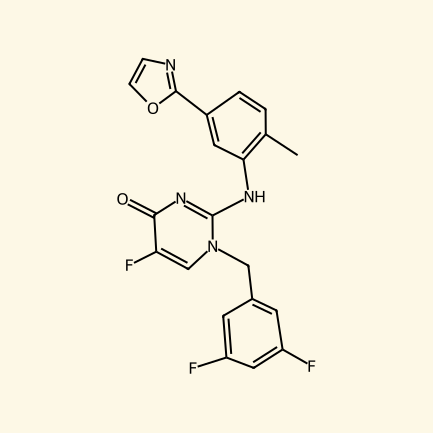 Cc1ccc(-c2ncco2)cc1Nc1nc(=O)c(F)cn1Cc1cc(F)cc(F)c1